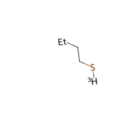 [3H]SCCCC